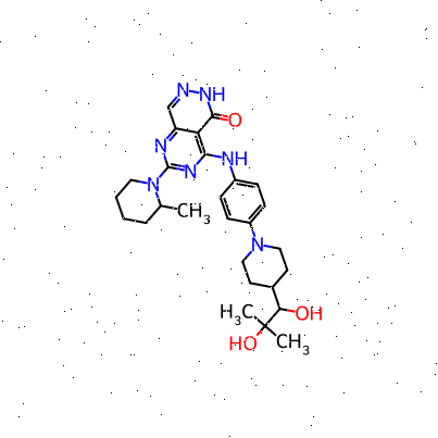 CC1CCCCN1c1nc(Nc2ccc(N3CCC(C(O)C(C)(C)O)CC3)cc2)c2c(=O)[nH]ncc2n1